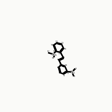 CN(C)c1cccc(/C=C/c2ccccc2N(C)C)c1